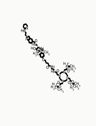 Cc1cc(OCCCC(=O)NCCNC(=O)CN2CCN(CC(=O)OC(C)(C)C)CCN(CC(=O)OC(C)(C)C)CCN(CC(=O)OC(C)(C)C)CC2)cc(C)c1S(=O)(=O)N[C@@H](CNC(=O)c1ccc2nn(CCNC3=NCCCC3)cc2c1)C(=O)O